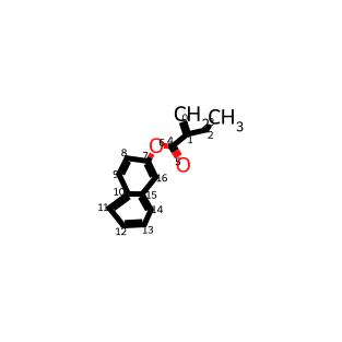 C=C(CC)C(=O)Oc1ccc2ccccc2c1